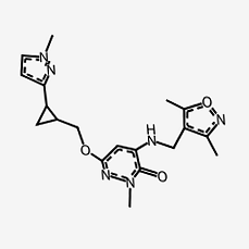 Cc1noc(C)c1CNc1cc(OCC2CC2c2ccn(C)n2)nn(C)c1=O